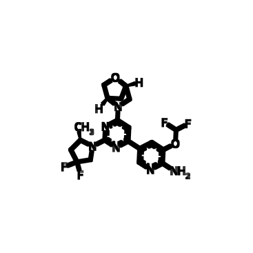 C[C@@H]1CC(F)(F)CN1c1nc(-c2cnc(N)c(OC(F)F)c2)cc(N2C[C@@H]3C[C@H]2CO3)n1